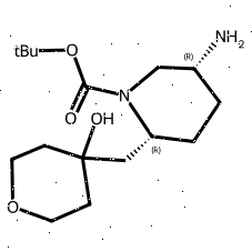 CC(C)(C)OC(=O)N1C[C@H](N)CC[C@@H]1CC1(O)CCOCC1